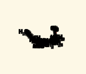 C=C(CCCCCCCC1C(=O)C=CC1=O)NC(C(=O)N[C@@H](C)C(=C)Nc1ccc(C2=CN3C(=C)c4cc(OC)c(OCCCOc5cc6c(cc5OC)C(=C)N5C=C(c7ccc(N8CCN(C)CC8)cc7)C[C@H]5C=N6)cc4N=C[C@@H]3C2)cc1)C(C)C